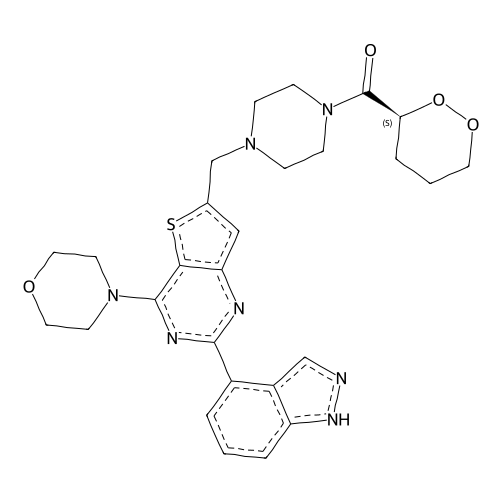 O=C([C@@H]1CCCOO1)N1CCN(Cc2cc3nc(-c4cccc5[nH]ncc45)nc(N4CCOCC4)c3s2)CC1